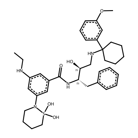 CCNc1cc(C(=O)N[C@@H](Cc2ccccc2)[C@@H](O)CNC2(c3cccc(OC)c3)CCCCC2)cc(N2CCCCS2(O)O)c1